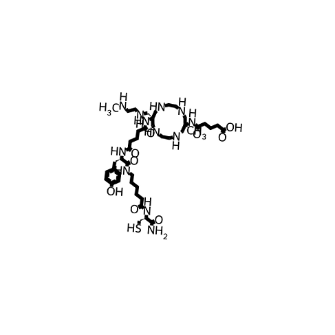 CNCCNC[C@]1(NC(=O)CCCC(=O)N[C@@H](Cc2ccc(O)cc2)C(=O)NCCCCCC(=O)N[C@@H](CS)C(N)=O)CNCCNC[C@@](C)(NC(=O)CCCC(=O)O)CNCCNC1